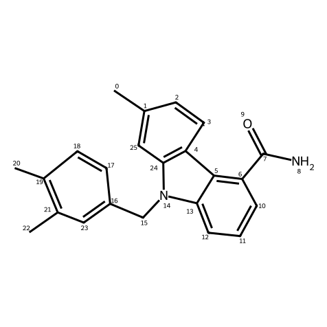 Cc1c[c]c2c3c(C(N)=O)cccc3n(Cc3ccc(C)c(C)c3)c2c1